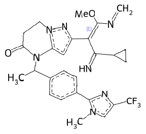 C=N/C(OC)=C(\C(=N)C1CC1)c1cc2n(n1)CCC(=O)N2C(C)c1ccc(-c2nc(C(F)(F)F)cn2C)cc1